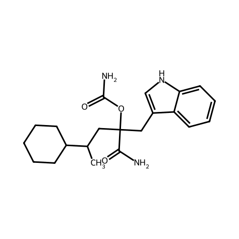 CC(CC(Cc1c[nH]c2ccccc12)(OC(N)=O)C(N)=O)C1CCCCC1